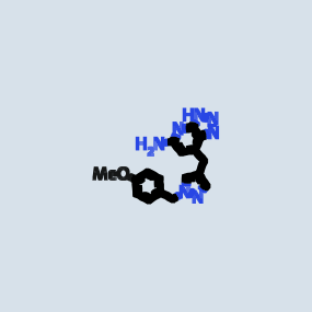 COc1ccc(Cn2cc(Cc3cc(N)nc4[nH]nnc34)cn2)cc1